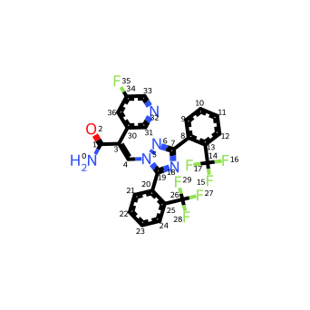 NC(=O)/C(=C/n1nc(-c2ccccc2C(F)(F)F)nc1-c1ccccc1C(F)(F)F)c1cncc(F)c1